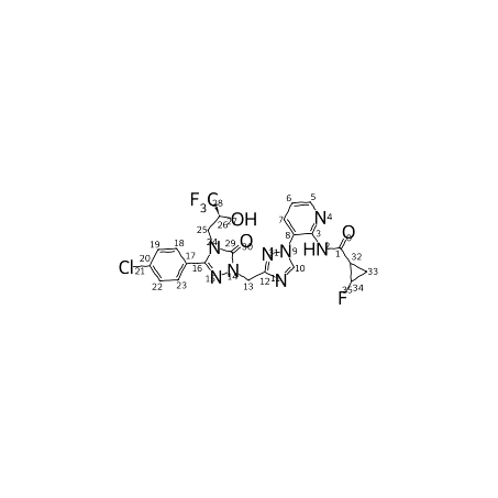 O=C(Nc1ncccc1-n1cnc(Cn2nc(-c3ccc(Cl)cc3)n(C[C@H](O)C(F)(F)F)c2=O)n1)C1CC1F